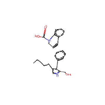 CCCCc1c[nH]c(CO)c1-c1ccccc1.O=C(O)N1CC=Cc2ccccc21